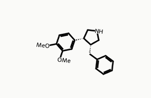 COc1ccc([C@@H]2CNC[C@@H]2Cc2ccccc2)cc1OC